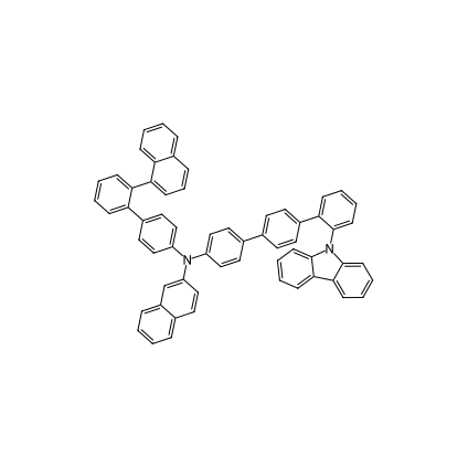 c1ccc(-c2cccc3ccccc23)c(-c2ccc(N(c3ccc(-c4ccc(-c5ccccc5-n5c6ccccc6c6ccccc65)cc4)cc3)c3ccc4ccccc4c3)cc2)c1